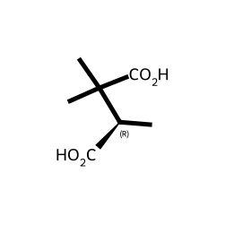 C[C@@H](C(=O)O)C(C)(C)C(=O)O